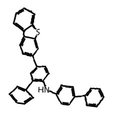 c1ccc(-c2ccc(Nc3ccc(-c4ccc5c(c4)sc4ccccc45)cc3-c3ccccc3)cc2)cc1